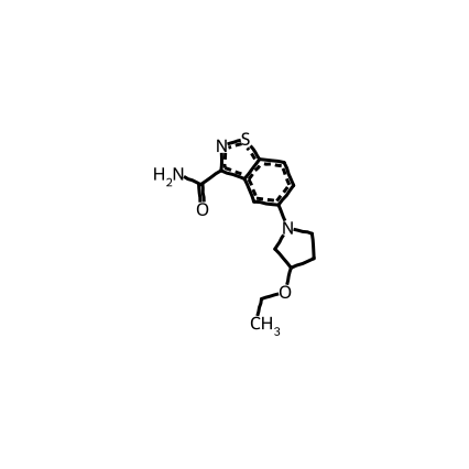 CCOC1CCN(c2ccc3snc(C(N)=O)c3c2)C1